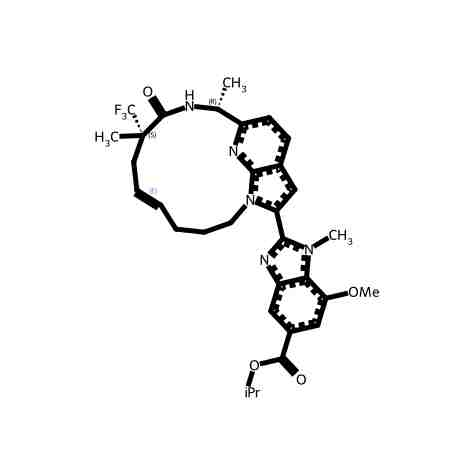 COc1cc(C(=O)OC(C)C)cc2nc(-c3cc4ccc5nc4n3CCC/C=C/C[C@](C)(C(F)(F)F)C(=O)N[C@@H]5C)n(C)c12